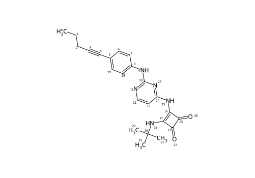 CCCC#Cc1ccc(Nc2nccc(Nc3c(NC(C)(C)C)c(=O)c3=O)n2)cc1